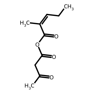 CCC=C(C)C(=O)OC(=O)CC(C)=O